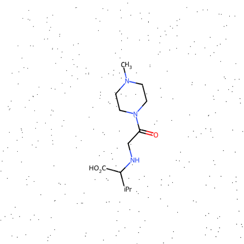 CC(C)C(NCC(=O)N1CCN(C)CC1)C(=O)O